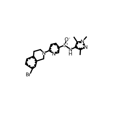 Cc1nn(C)c(C)c1N[S+]([O-])c1ccc(N2CCc3ccc(Br)cc3C2)nc1